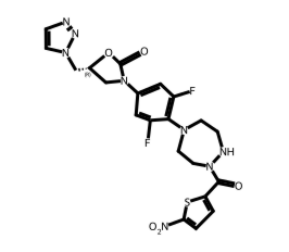 O=C(c1ccc([N+](=O)[O-])s1)N1CCN(c2c(F)cc(N3C[C@H](Cn4ccnn4)OC3=O)cc2F)CCN1